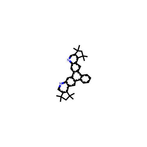 CC1(C)CC(C)(C)c2c1cnc1cc3c4cc5ncc6c(c5cc4c4ccccc4c3cc21)C(C)(C)CC6(C)C